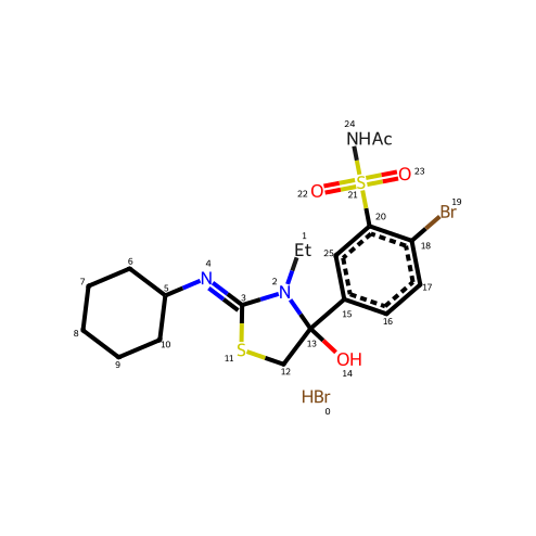 Br.CCN1C(=NC2CCCCC2)SCC1(O)c1ccc(Br)c(S(=O)(=O)NC(C)=O)c1